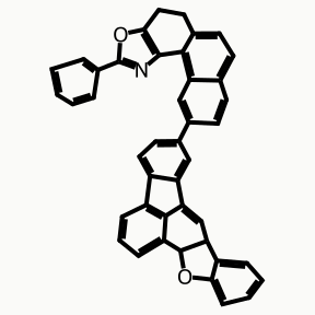 C1=C2c3cc(-c4ccc5ccc6c(c5c4)-c4nc(-c5ccccc5)oc4CC6)ccc3-c3cccc(c32)C2Oc3ccccc3C12